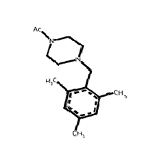 [CH2]C(=O)N1CCN(Cc2c(C)cc(C)cc2C)CC1